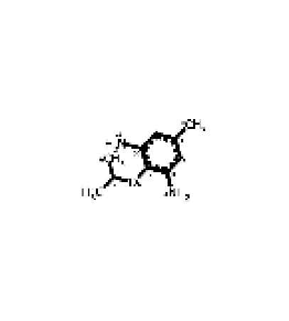 Cc1cc(N)c(OC(C)C)c(N)c1